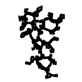 COc1ncc(-c2nc3c(n2C(C)C)C(c2ccc(Cl)cc2)N(c2cc(Cl)c[nH]c2=O)C3=O)c(OC)n1